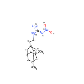 CC12CC3CC(C)(C1)CC(CCNC(N)=N[N+](=O)[O-])(C3)C2